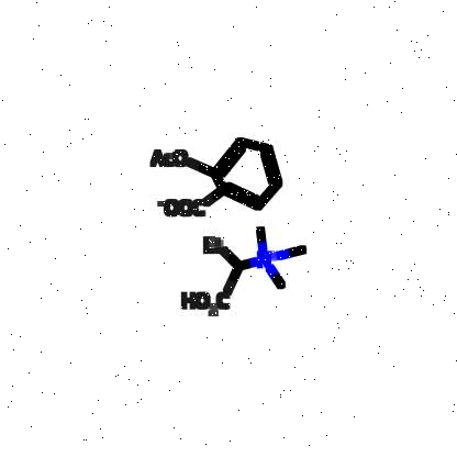 CC(=O)Oc1ccccc1C(=O)[O-].CCC(C(=O)O)[N+](C)(C)C